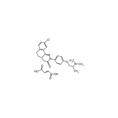 CC(COc1ccc(N2N=C3c4cc(Cl)ccc4CCC3CC2=O)cc1)N(C)C.O=C(O)C=CC(=O)O